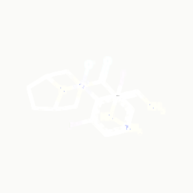 N/C=C(\NN)C(=O)N1CC2CCC(C1)N2[S+]([O-])c1c(F)cccc1F